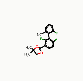 CC1(C)COB(c2ccc(F)c(-c3c(F)cccc3C#N)c2F)O1